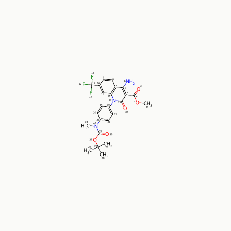 COC(=O)c1c(N)c2ccc(C(F)(F)F)cc2n(-c2ccc(N(C)C(=O)OC(C)(C)C)cc2)c1=O